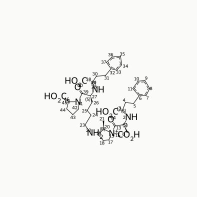 C[C@H](N[C@@H](CCc1ccccc1)C(=O)O)C(=O)[N+]1(C(=O)O)CCC[C@H]1C.NCCCC[C@H](N[C@@H](CCc1ccccc1)C(=O)O)C(=O)N1CCC[C@H]1C(=O)O